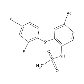 CC(=O)c1ccc(NS(C)(=O)=O)c(Sc2ccc(F)cc2F)c1